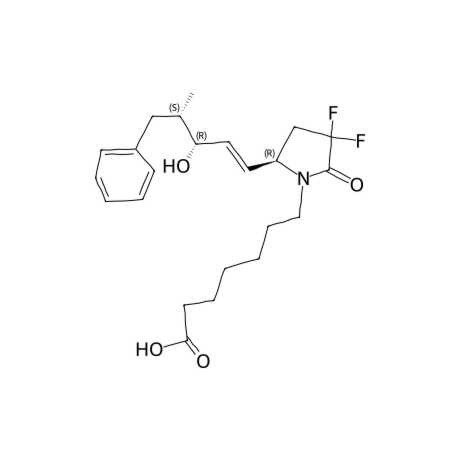 C[C@@H](Cc1ccccc1)[C@@H](O)C=C[C@H]1CC(F)(F)C(=O)N1CCCCCCC(=O)O